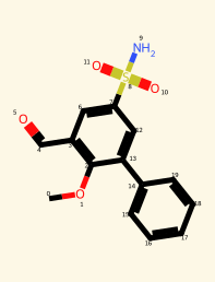 COc1c(C=O)cc(S(N)(=O)=O)cc1-c1ccccc1